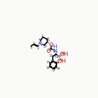 CC=CN1CCC[C@H](OC(=O)NC(Cc2ccccc2)B(O)O)C1